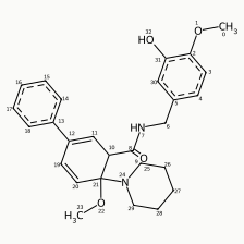 COc1ccc(CNC(=O)C2C=C(c3ccccc3)C=CC2(OC)N2CCCCC2)cc1O